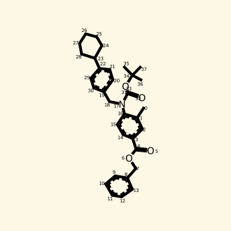 Cc1cc(C(=O)OCc2ccccc2)ccc1N(Cc1ccc(C2CCCCC2)cc1)C(=O)OC(C)(C)C